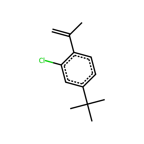 C=C(C)c1ccc(C(C)(C)C)cc1Cl